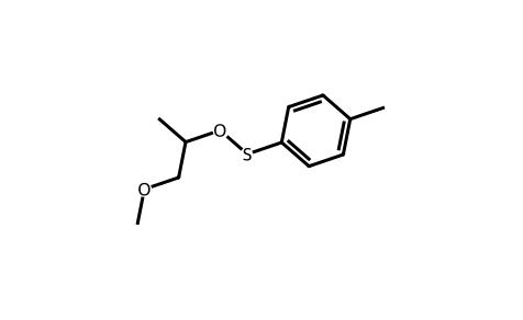 COCC(C)OSc1ccc(C)cc1